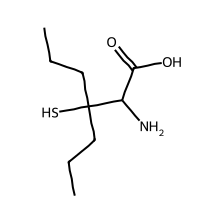 CCCC(S)(CCC)C(N)C(=O)O